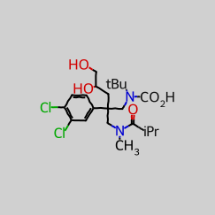 CC(C)C(=O)N(C)CC(CC(O)CO)(CN(C(=O)O)C(C)(C)C)c1ccc(Cl)c(Cl)c1